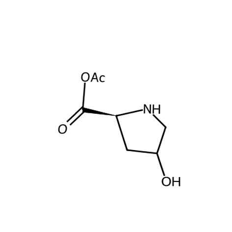 CC(=O)OC(=O)[C@@H]1CC(O)CN1